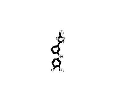 FC(F)(F)c1nc(-c2cc[c]c(Nc3ccc(Cl)c(C(F)(F)F)c3)c2)no1